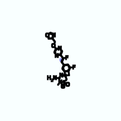 CN1C(N)=N[C@@]2(Cc3c(F)cc(/C=C(\F)c4cnc(OCc5cocn5)cn4)cc32)CS1(=O)=O